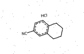 Cl.N#Cc1ccc2c(c1)CCCC2